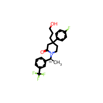 C[C@@H](c1cccc(C(F)(F)F)c1)N1CCC(CCCO)(c2ccc(F)cc2)CC1=O